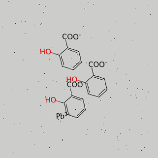 O=C([O-])c1ccccc1O.O=C([O-])c1ccccc1O.O=C([O-])c1ccccc1O.[Pb+3]